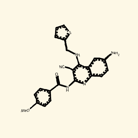 COc1ccc(C(=O)Nc2nc3ccc(N)cc3c(NCc3cccs3)c2C#N)cc1